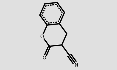 N#CC1Cc2ccccc2OC1=O